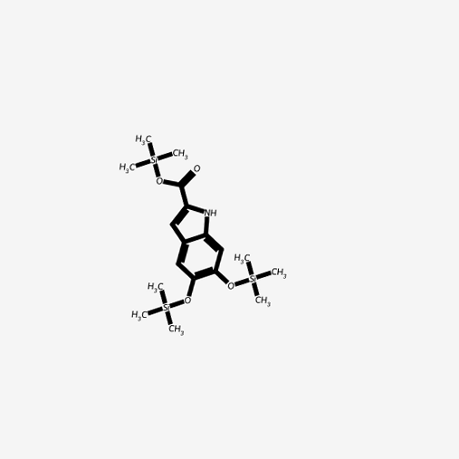 C[Si](C)(C)OC(=O)c1cc2cc(O[Si](C)(C)C)c(O[Si](C)(C)C)cc2[nH]1